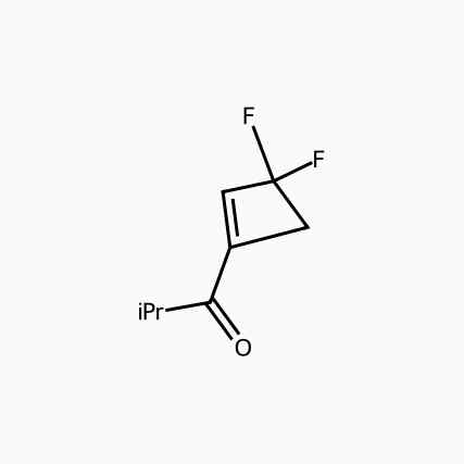 CC(C)C(=O)C1=CC(F)(F)C1